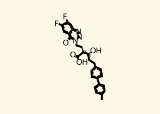 Cc1ccc(-c2ccc(CC[C@@H](O)[C@H](CCn3nnc4cc(F)c(F)cc4c3=O)C(=O)O)cc2)cc1